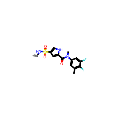 Cc1cc(N(C)C(=O)c2cc(S(=O)(=O)NC(C)(C)C)c[nH]2)cc(F)c1F